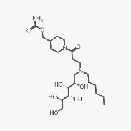 CCCCCCN(CCC(=O)N1CCC(COC(N)=O)CC1)C[C@@H](O)[C@@H](O)[C@H](O)[C@H](O)CO